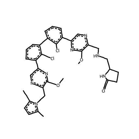 COc1nc(-c2cccc(-c3cccc(-c4cnc(Cn5c(C)ccc5C)c(OC)n4)c3Cl)c2Cl)cnc1CNCC1CCC(=O)N1